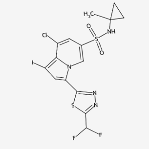 CC1(NS(=O)(=O)c2cc(Cl)c3c(I)cc(-c4nnc(C(F)F)s4)n3c2)CC1